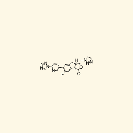 O=C1O[C@@H](Cn2ccnn2)[C@@H]2Cc3cc(-c4ccc(-n5cnnn5)nc4)c(F)cc3N12